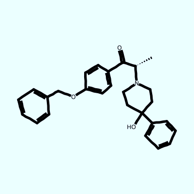 C[C@@H](C(=O)c1ccc(OCc2ccccc2)cc1)N1CCC(O)(c2ccccc2)CC1